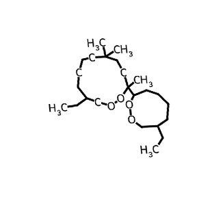 CCC1CCCCC(C2(C)CCC(C)(C)CCCCC(CC)COO2)OOC1